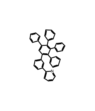 c1ccc(-c2cc(-c3cccc(-c4ccccn4)c3)c(-c3ccccc3)c(-c3ccccc3)c2-c2ccccc2)cc1